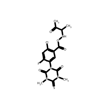 CC(=O)C(C)NOC(=O)c1cc(-n2c(=O)n(C)c(=S)n(C)c2=O)c(F)cc1Cl